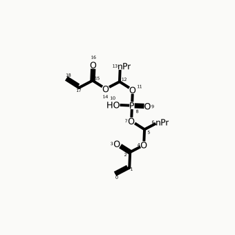 C=CC(=O)OC(CCC)OP(=O)(O)OC(CCC)OC(=O)C=C